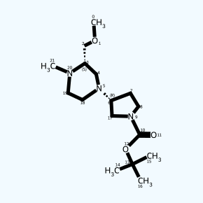 COC[C@@H]1CN([C@@H]2CCN(C(=O)OC(C)(C)C)C2)CCN1C